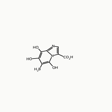 Bc1c(O)c(O)c2ncc(C(=O)O)n2c1O